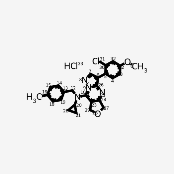 COc1ccc(-c2cnn3c(N(Cc4ccc(C)cc4)C4CC4)c4c(nc23)COC4)c(Cl)c1.Cl